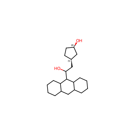 OC(C[C@H]1CC[C@@H](O)C1)C1C2CCCCC2CC2CCCCC21